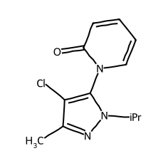 Cc1nn(C(C)C)c(-n2ccccc2=O)c1Cl